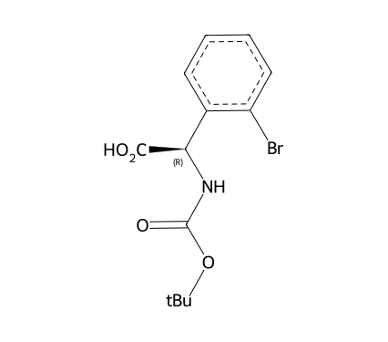 CC(C)(C)OC(=O)N[C@@H](C(=O)O)c1ccccc1Br